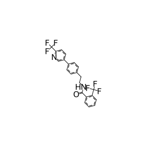 O=C(NCCc1ccc(-c2ccc(C(F)(F)F)nc2)cc1)c1ccccc1C(F)(F)F